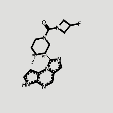 C[C@@H]1CCN(C(=O)N2CC(F)C2)C[C@@H]1c1ncc2cnc3[nH]ccc3n12